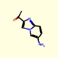 CC(=O)c1cn2cc(N)ccc2n1